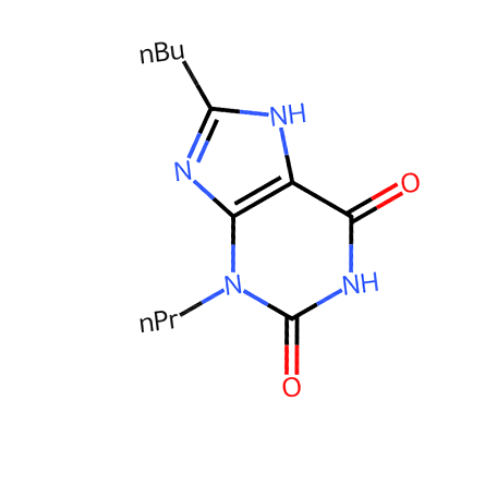 CCCCc1nc2c([nH]1)c(=O)[nH]c(=O)n2CCC